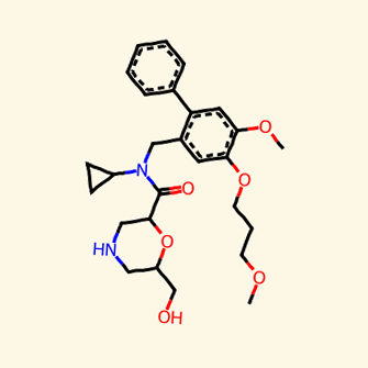 COCCCOc1cc(CN(C(=O)C2CNCC(CO)O2)C2CC2)c(-c2ccccc2)cc1OC